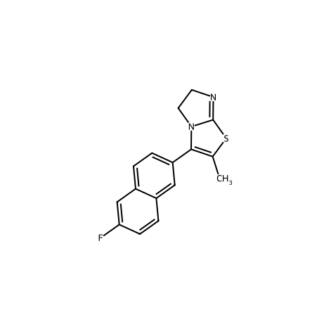 CC1=C(c2ccc3cc(F)ccc3c2)N2CCN=C2S1